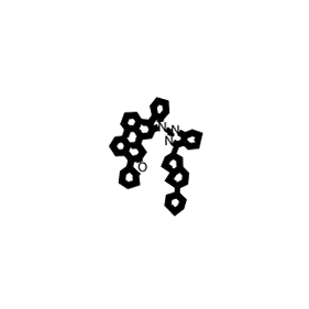 c1ccc(-c2ccc3cc(-c4nc(-n5c6ccccc6c6c7cccc8c9cccc%10c%11c(cc(c(cc65)c87)c9%10)oc5ccccc5%11)nc5ccccc45)ccc3c2)cc1